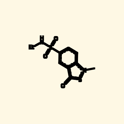 CCNS(=O)(=O)c1ccc2c(c1)c(=O)sn2C